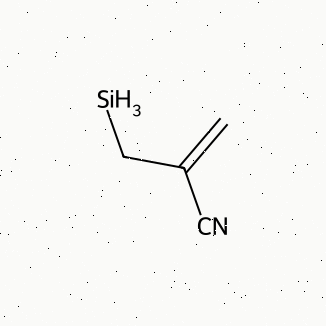 C=C(C#N)C[SiH3]